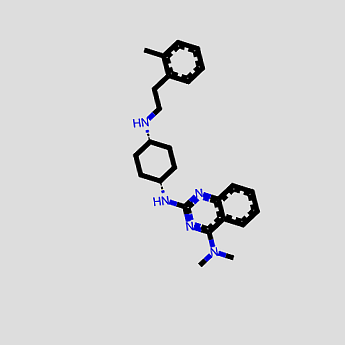 Cc1ccccc1CCN[C@H]1CC[C@@H](Nc2nc(N(C)C)c3ccccc3n2)CC1